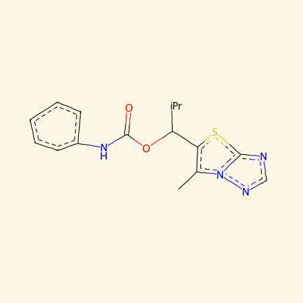 Cc1c(C(OC(=O)Nc2ccccc2)C(C)C)sc2ncnn12